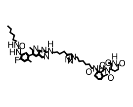 CCCCCCNC(=O)Nc1cc(-c2cc3cnc(NCCCCc4cn(CCCCCC(=O)Nc5cccc6c5C(=O)N(C5CCC(=O)NC5=O)C6=O)nn4)nc3nc2C)c(C)cc1F